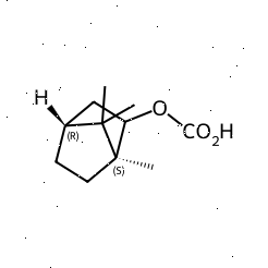 CC1(C)[C@@H]2CC[C@]1(C)C(OC(=O)O)C2